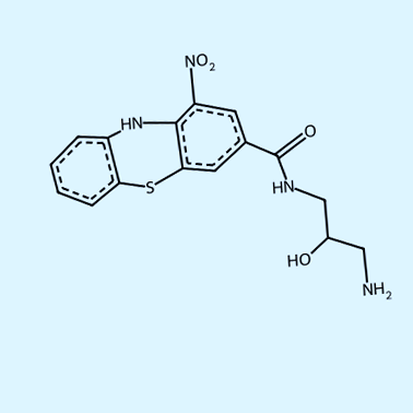 NCC(O)CNC(=O)c1cc2c(c([N+](=O)[O-])c1)Nc1ccccc1S2